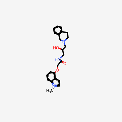 Cn1ccc2c(OCC(=O)NCC(O)CN3CCc4ccccc4C3)cccc21